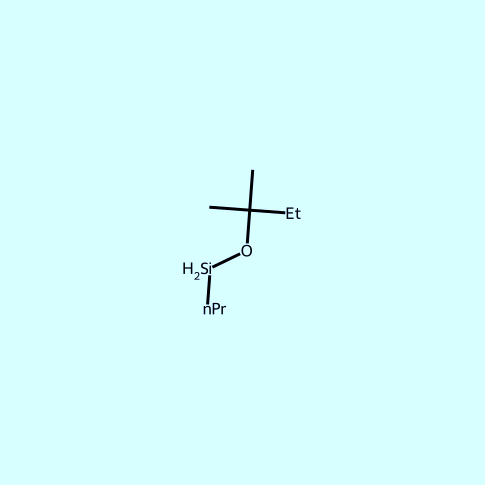 CCC[SiH2]OC(C)(C)CC